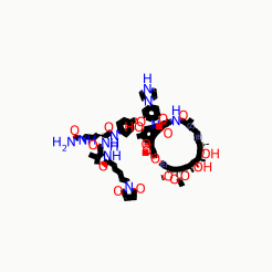 CO[C@H]1/C=C/O[C@@]2(C)Oc3c(C)c(O)c4c(=O)c(c5oc6cc(N7CCNCC7)cc(OCc7ccc(NC(=O)[C@H](CCCNC(N)=O)NC(=O)[C@@H](NC(=O)CCCCCN8C(=O)C=CC8=O)C(C)C)cc7)c6nc-5c4c3C2=O)NC(=O)/C(C)=C\C=C\[C@H](C)[C@H](O)[C@@H](C)[C@@H](O)[C@@H](C)[C@H](OC(C)=O)[C@@H]1C